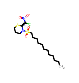 CCCCCCCCCCCCS(=O)(=O)N1CCCS/C1=C(/Cl)[N+](=O)[O-]